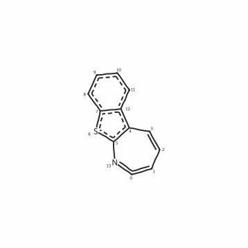 C1=CC=Cc2c(sc3ccccc23)N=1